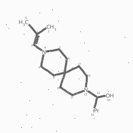 CC(C)=CN1CCC2(CC1)CCN(C(O)C(C)C)CC2